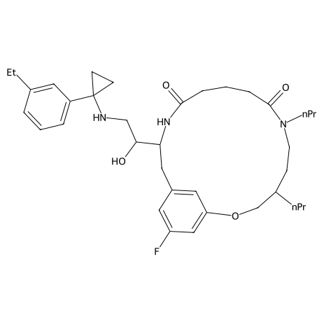 CCCC1CCN(CCC)C(=O)CCCC(=O)NC(C(O)CNC2(c3cccc(CC)c3)CC2)Cc2cc(F)cc(c2)OC1